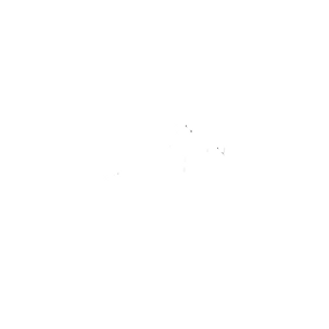 N#Cc1ccc(-c2cc[c]s2)cc1C#N